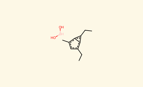 CCc1cc(C)c2c(CC)c1-2.OBO